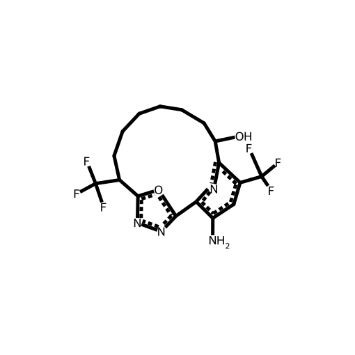 Nc1cc(C(F)(F)F)c2nc1-c1nnc(o1)C(C(F)(F)F)CCCCCCC2O